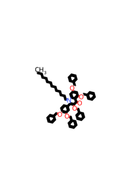 CCCCCCCCCCCCCCn1c(-c2ccc(OCc3ccccc3)c(OCc3ccccc3)c2)c(OCc2ccccc2)c(=O)c2c(OCc3ccccc3)cc(OCc3ccccc3)cc21